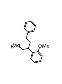 COc1ccccc1C([CH2][Mg+])CCc1ccccc1.[Br-]